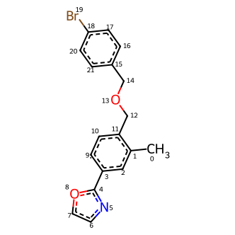 Cc1cc(-c2ncco2)[c]cc1COCc1ccc(Br)cc1